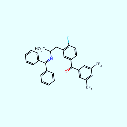 O=C(c1cc(C(F)(F)F)cc(C(F)(F)F)c1)c1ccc(F)c(CC(N=C(c2ccccc2)c2ccccc2)C(=O)O)c1